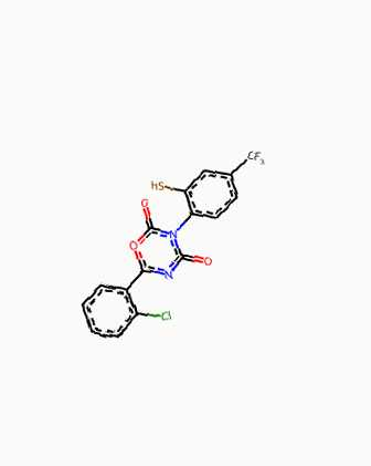 O=c1nc(-c2ccccc2Cl)oc(=O)n1-c1ccc(C(F)(F)F)cc1S